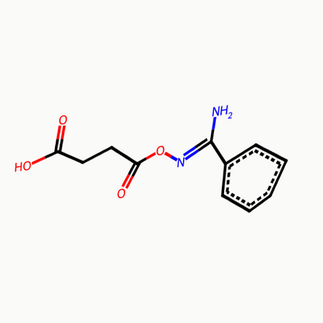 N/C(=N\OC(=O)CCC(=O)O)c1ccccc1